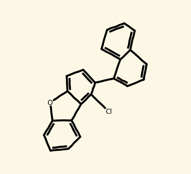 Clc1c(-c2cccc3ccccc23)ccc2oc3ccccc3c12